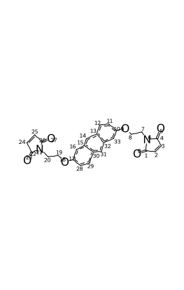 O=C1C=CC(=O)N1CCOc1ccc2cc3cc(OCCN4C(=O)C=CC4=O)ccc3cc2c1